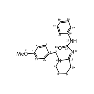 COc1ccc(CN2CCCC/C2=N/C(=O)Nc2ccccc2)cc1